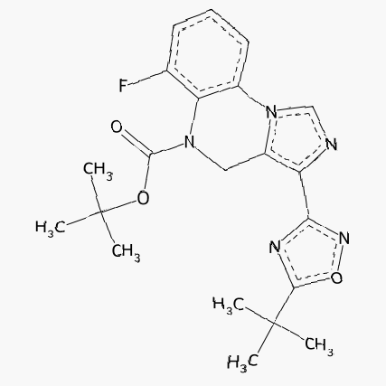 CC(C)(C)OC(=O)N1Cc2c(-c3noc(C(C)(C)C)n3)ncn2-c2cccc(F)c21